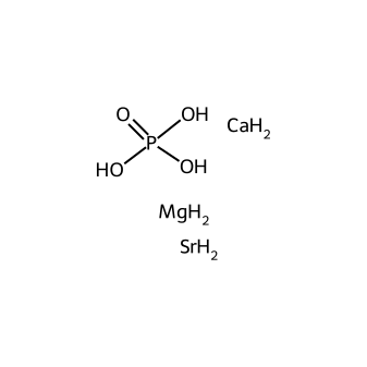 O=P(O)(O)O.[CaH2].[MgH2].[SrH2]